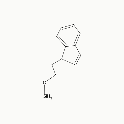 [SiH3]OCCC1C=Cc2ccccc21